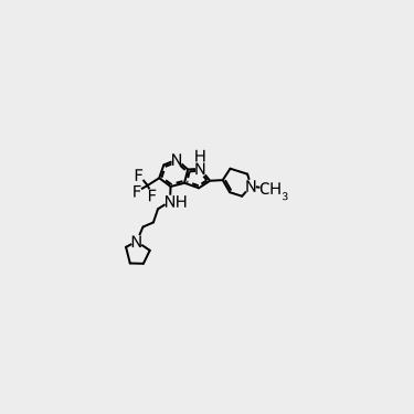 CN1CC=C(c2cc3c(NCCCN4CCCC4)c(C(F)(F)F)cnc3[nH]2)CC1